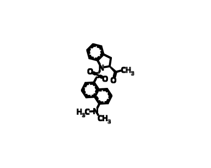 CC(=O)[C@@H]1Cc2ccccc2N1S(=O)(=O)c1cccc2c(N(C)C)cccc12